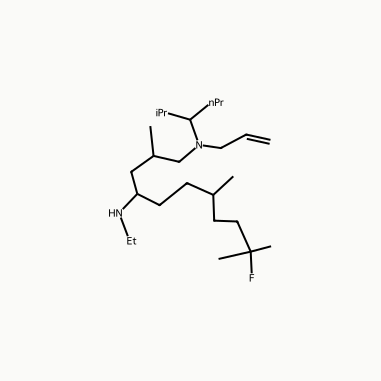 C=CCN(CC(C)CC(CCC(C)CCC(C)(C)F)NCC)C(CCC)C(C)C